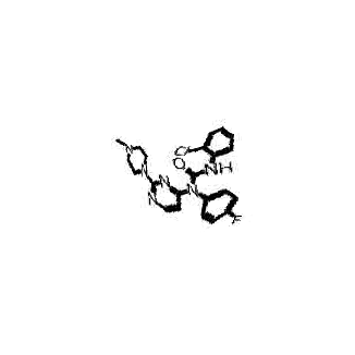 CN1CCN(c2nccc(N(C(=O)Nc3ccccc3Cl)c3ccc(F)cc3)n2)CC1